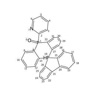 O=P1(c2ccccn2)c2ccccc2[PH]2(c3ccccc3-c3ccccc32)c2ccccc21